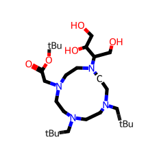 CC(C)(C)CN1CCN(CC(=O)OC(C)(C)C)CCN(C(CO)C(O)CO)CCN(CC(C)(C)C)CC1